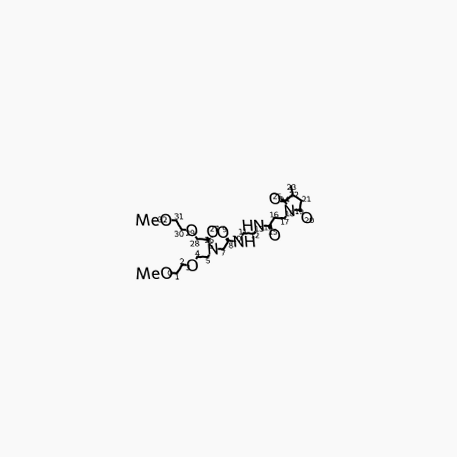 COCCOCCN(CC(=O)NCCNC(=O)CCN1C(=O)CC(C)C1=O)C(=O)COCCOC